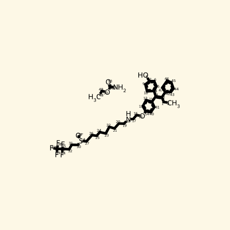 CCC(=C(c1ccc(O)cc1)c1ccc(OCCNCCCCCCCCC[S+]([O-])CCCC(F)(F)C(F)(F)F)cc1)c1ccccc1.CCOC(N)=O